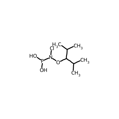 CC(C)C(ON(Cl)P(O)O)C(C)C